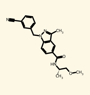 COC[C@H](C)NC(=O)c1ccc2c(c1)c(C)nn2Cc1cccc(C#N)c1